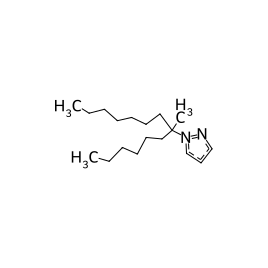 CCCCCCCC(C)(CCCCCC)n1cccn1